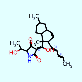 C/C=C/C=C/C1C=CC2CC(C)CCC2C1(C)/C(O)=C1/C(=O)NC(C(C)O)C1=O